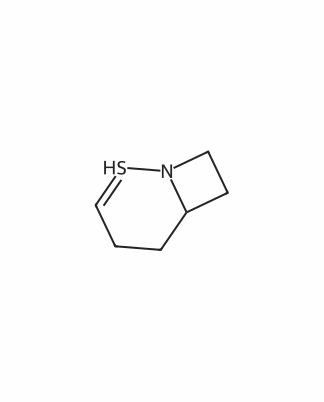 C1=[SH]N2CCC2CC1